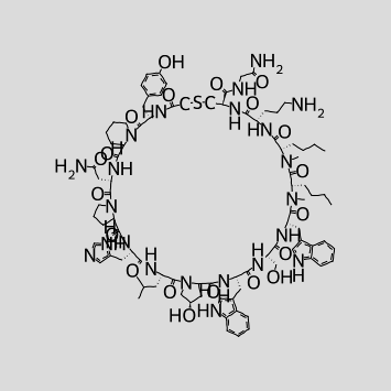 CCCC[C@H]1C(=O)N(C)[C@@H](CCCC)C(=O)N[C@@H](CCCN)C(=O)N[C@H](C(=O)NCC(N)=O)CSCC(=O)N[C@@H](Cc2ccc(O)cc2)C(=O)N2CCCC[C@H]2C(=O)N[C@@H](CC(N)=O)C(=O)N2CCC[C@H]2C(=O)N[C@@H](Cc2cnc[nH]2)C(=O)N[C@@H](CC(C)C)C(=O)N2C[C@H](O)C[C@H]2C(=O)N[C@@H](Cc2c[nH]c3ccccc23)C(=O)N[C@@H](CO)C(=O)N[C@@H](Cc2c[nH]c3ccccc23)C(=O)N1C